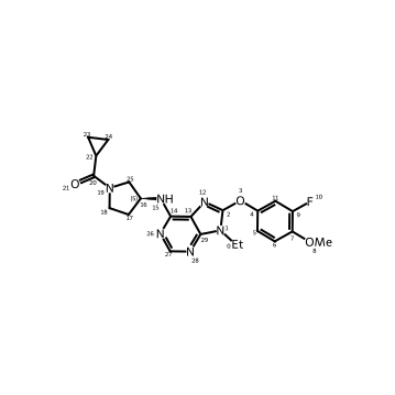 CCn1c(Oc2ccc(OC)c(F)c2)nc2c(N[C@H]3CCN(C(=O)C4CC4)C3)ncnc21